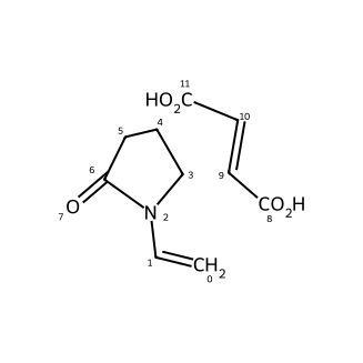 C=CN1CCCC1=O.O=C(O)C=CC(=O)O